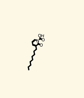 CCCCCCCCCc1cccn(C(=O)O)c1=O